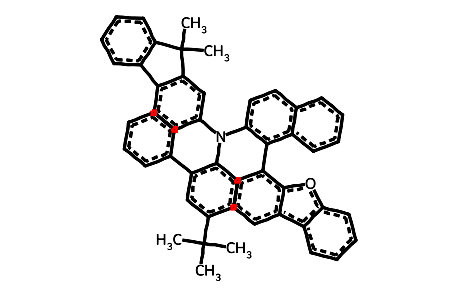 CC(C)(C)c1ccc(N(c2ccc3c(c2)C(C)(C)c2ccccc2-3)c2ccc3ccccc3c2-c2cccc3c2oc2ccccc23)c(-c2ccccc2)c1